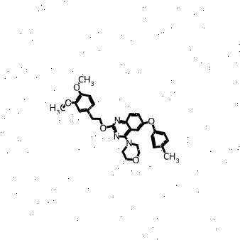 COc1ccc(CCOc2nc(N3CCOCC3)c3cc(Oc4ccc(C)cc4)ccc3n2)cc1OC